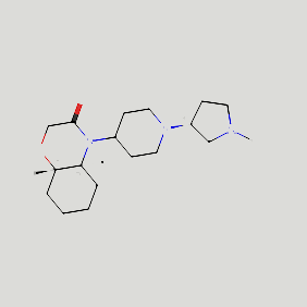 O=C(O)N1CC[C@H](N2CCC(N3C(=O)CO[C@H]4CCCC[C@@H]43)CC2)C1